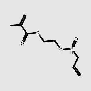 C=CC[PH](=O)OCCOC(=O)C(=C)C